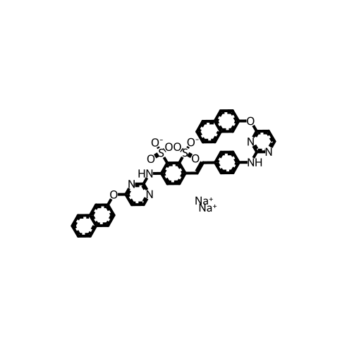 O=S(=O)([O-])c1c(C=Cc2ccc(Nc3nccc(Oc4ccc5ccccc5c4)n3)cc2)ccc(Nc2nccc(Oc3ccc4ccccc4c3)n2)c1S(=O)(=O)[O-].[Na+].[Na+]